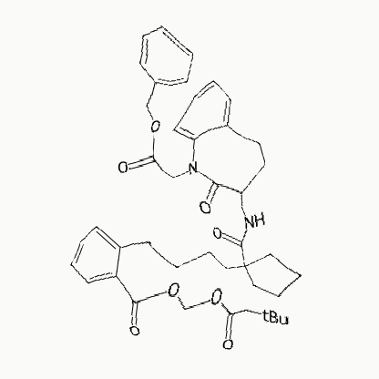 CC(C)(C)C(=O)OCOC(=O)c1ccccc1CCCCC1(C(=O)NC2CCc3ccccc3N(CC(=O)OCc3ccccc3)C2=O)CCCC1